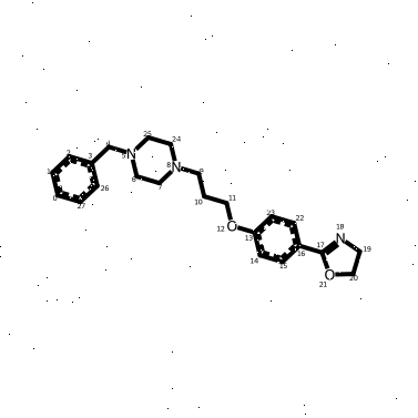 c1ccc(CN2CCN(CCCOc3ccc(C4=NCCO4)cc3)CC2)cc1